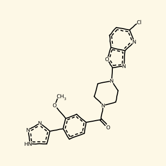 COc1cc(C(=O)N2CCN(c3nc4nc(Cl)ccc4o3)CC2)ccc1-c1c[nH]nn1